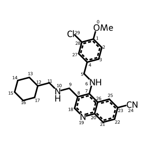 COc1ccc(CNc2c(CNCC3CCCCC3)cnc3ccc(C#N)cc23)cc1Cl